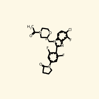 CC(=O)N1CCO[C@@H](Cn2c(-c3c(F)cc(N4CCCC4=O)cc3F)nc3c(F)c(Cl)ccc32)C1